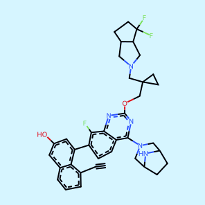 C#Cc1cccc2cc(O)cc(-c3ccc4c(N5CC6CCC(C5)N6)nc(OCC5(CN6CC7CCC(F)(F)C7C6)CC5)nc4c3F)c12